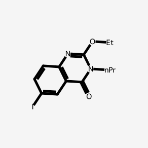 CCCn1c(OCC)nc2ccc(I)cc2c1=O